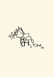 CCOc1cc2c(c(OC)c1)[C@H]1CC[C@]3(C)C(=O)CC[C@H]3[C@@H]1CC2